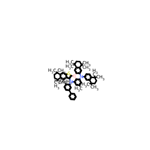 C[SiH2]c1ccc(-c2ccccc2)cc1N1c2cc(C)cc3c2B(c2cc4c(cc2N3c2ccc3c(c2)C(C)(C)CCC3(C)C)C(C)(C)CCC4(C)C)c2sc3cc4c(cc3c21)C(C)(C)CCC4(C)C